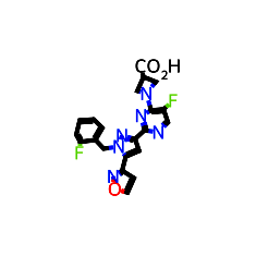 O=C(O)C1CN(c2nc(-c3cc(-c4ccon4)n(Cc4ccccc4F)n3)ncc2F)C1